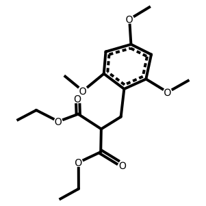 CCOC(=O)C(Cc1c(OC)cc(OC)cc1OC)C(=O)OCC